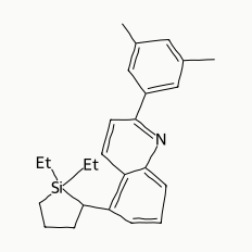 CC[Si]1(CC)CCCC1c1cccc2nc(-c3cc(C)cc(C)c3)ccc12